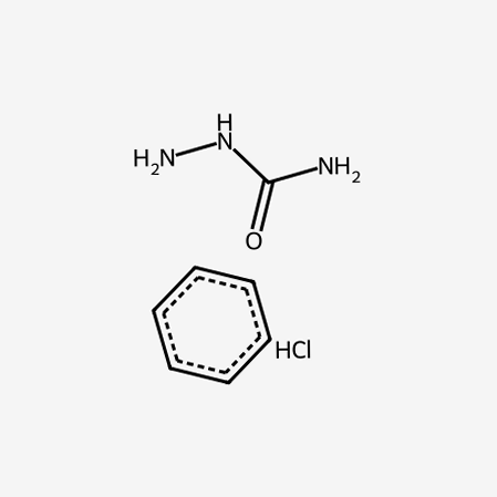 Cl.NNC(N)=O.c1ccccc1